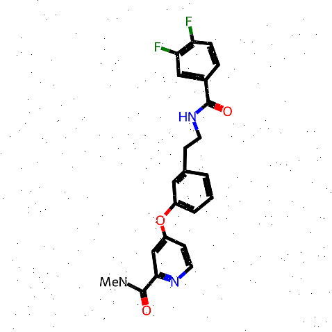 CNC(=O)c1cc(Oc2cccc(CCNC(=O)c3ccc(F)c(F)c3)c2)ccn1